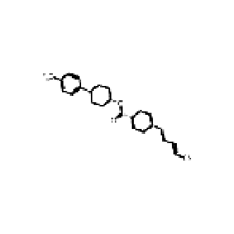 N#CC=CCC[C@H]1CC[C@H](C(=O)O[C@H]2CC[C@H](c3ccc(C(F)(F)F)cc3)CC2)CC1